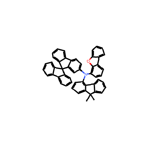 CC1(C)c2ccccc2-c2c(N(c3ccc4c(c3)C3(c5ccccc5-c5ccccc53)c3ccccc3-4)c3cccc4c3oc3ccccc34)cccc21